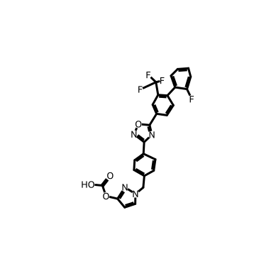 O=C(O)Oc1ccn(Cc2ccc(-c3noc(-c4ccc(-c5ccccc5F)c(C(F)(F)F)c4)n3)cc2)n1